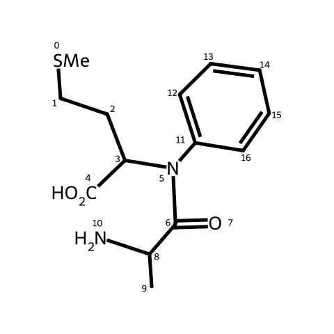 CSCCC(C(=O)O)N(C(=O)C(C)N)c1ccccc1